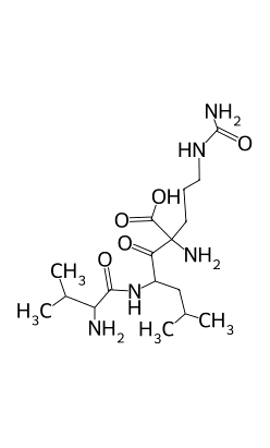 CC(C)CC(NC(=O)C(N)C(C)C)C(=O)C(N)(CCCNC(N)=O)C(=O)O